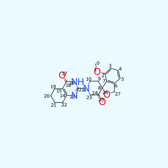 COc1cccc2c1C1(CCN(c3nc4c(c(=O)[nH]3)CCCC4)CC1=O)OC2